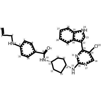 C=CCNc1ccc(C(=O)N[C@H]2CC[C@@H](Nc3ncc(Cl)c(-c4c[nH]c5ccccc45)n3)CC2)cc1